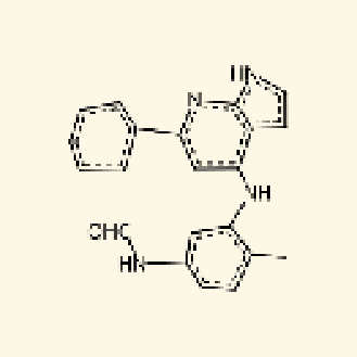 Cc1ccc(NC=O)cc1Nc1cc(-c2ccccc2)nc2[nH]ccc12